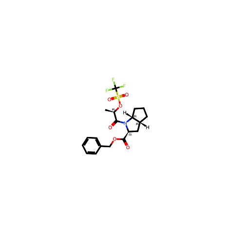 C[C@@H](OS(=O)(=O)C(F)(F)F)C(=O)N1[C@@H]2CCC[C@@H]2C[C@H]1C(=O)OCc1ccccc1